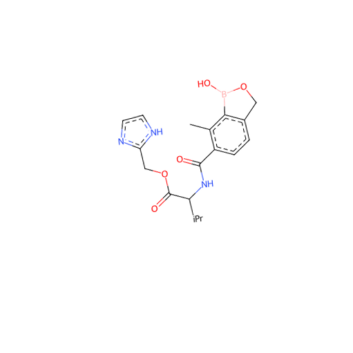 Cc1c(C(=O)NC(C(=O)OCc2ncc[nH]2)C(C)C)ccc2c1B(O)OC2